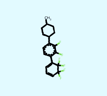 CC1CCC(c2ccc(C3=CC=CC(F)(F)C3(F)F)c(F)c2F)CC1